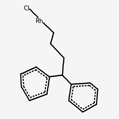 [Cl][Rh][CH2]CCC(c1ccccc1)c1ccccc1